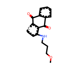 COCCCNc1cccc2c1C(=O)c1ccccc1C2=O